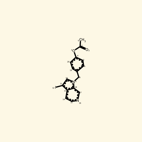 CC(=O)Oc1ccc(Cn2cc(I)c3ccncc32)cc1